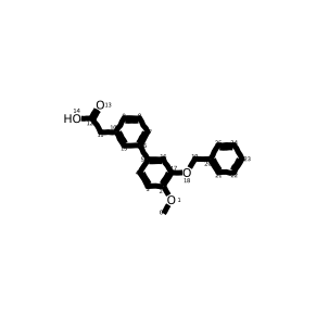 COc1ccc(-c2cccc(CC(=O)O)c2)cc1OCc1ccccc1